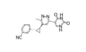 Cc1nnc(-c2c[nH]c(=O)[nH]c2=O)cc1[C@H]1C[C@@H]1c1cccc(C#N)c1